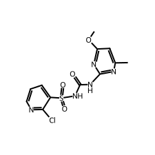 COc1cc(C)nc(NC(=O)NS(=O)(=O)c2cccnc2Cl)n1